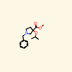 COC(=O)C1(OC(C)C)CCN(Cc2ccccc2)C1